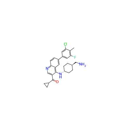 Cc1c(F)cc(-c2ccc3ncc(C(=O)C4CC4)c(N[C@H]4CC[C@H](CN)CC4)c3c2)cc1Cl